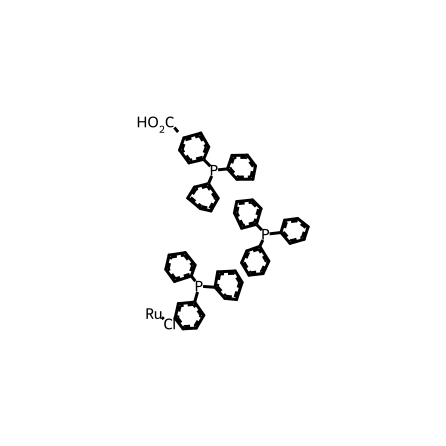 CC(=O)O.[Cl][Ru].c1ccc(P(c2ccccc2)c2ccccc2)cc1.c1ccc(P(c2ccccc2)c2ccccc2)cc1.c1ccc(P(c2ccccc2)c2ccccc2)cc1